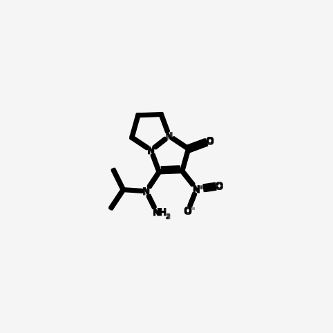 CC(C)N(N)c1c([N+](=O)[O-])c(=O)n2n1CCC2